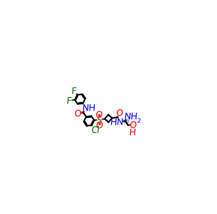 N[C@@H](CO)NC(=O)C1CC(S(=O)(=O)c2cc(C(=O)Nc3ccc(F)c(F)c3)ccc2Cl)C1